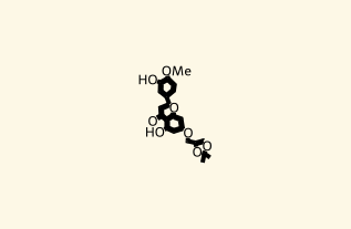 COc1ccc(-c2cc(=O)c3c(O)cc(OCC4=COC(C)(C)O4)cc3o2)cc1O